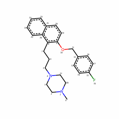 CN1CCN(CCCc2c(OCc3ccc(F)cc3)ccc3ccccc23)CC1